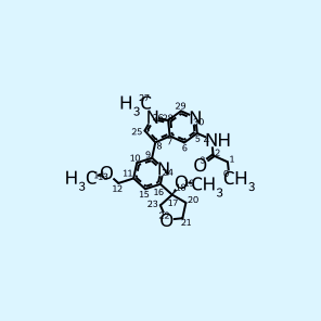 CCC(=O)Nc1cc2c(-c3cc(COC)cc([C@]4(OC)CCOC4)n3)cn(C)c2cn1